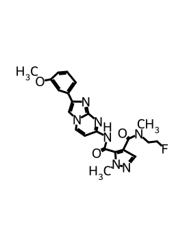 COc1cccc(-c2cn3ccc(NC(=O)c4c(C(=O)N(C)CCF)cnn4C)nc3n2)c1